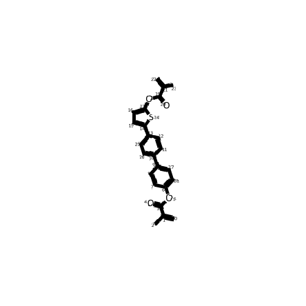 C=C(C)C(=O)Oc1ccc(-c2ccc(-c3ccc(OC(=O)C(=C)C)s3)cc2)cc1